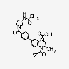 CC(=O)N[C@H]1CCN(C(=O)c2ccc(-c3ccc4c(c3)N(C(=O)O)C[C@H](C)N4C(=O)C3CC3)cc2)C1